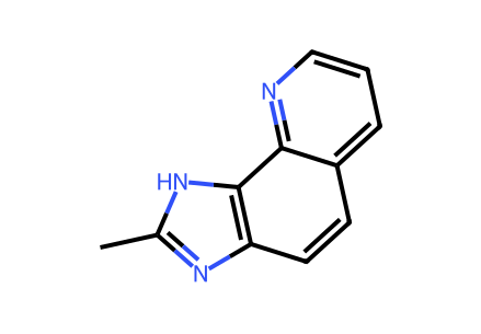 Cc1nc2ccc3cccnc3c2[nH]1